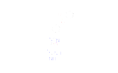 N=C(N)N1CC[C@H]1c1nc(-c2ccc(CS(=O)(=O)c3ccccc3)cc2)no1